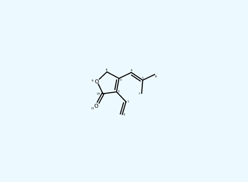 C=CC1=C(C=C(C)C)COC1=O